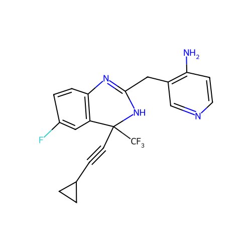 Nc1ccncc1CC1=Nc2ccc(F)cc2C(C#CC2CC2)(C(F)(F)F)N1